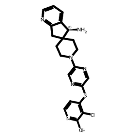 N[C@@H]1c2cccnc2CC12CCN(c1cnc(Sc3ccnc(O)c3Cl)cn1)CC2